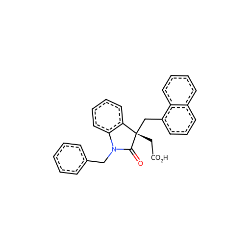 O=C(O)C[C@@]1(Cc2cccc3ccccc23)C(=O)N(Cc2ccccc2)c2ccccc21